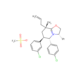 C=CC[C@@]1(C)C[C@H](c2cccc(Cl)c2)[C@@H](c2ccc(Cl)cc2)[N+]2=C1OC[C@@H]2C(C)C.O=S(=O)([O-])C(F)(F)F